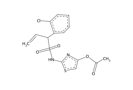 C=CC(c1ccccc1Cl)S(=O)(=O)Nc1nc(OC(C)=O)cs1